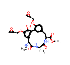 CN[C@@H]1C(=O)N[C@@H](C)C(=O)N[C@H](C(=O)OC)Cc2ccc(OC[C@H]3CO3)c(c2)-c2cc1cc(OC[C@H]1CO1)c2O